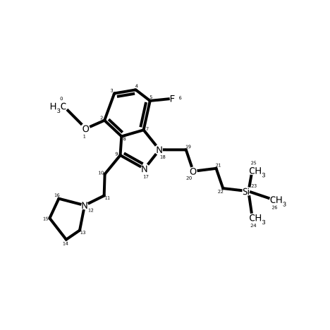 COc1ccc(F)c2c1c(CCN1CCCC1)nn2COCC[Si](C)(C)C